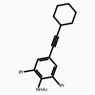 CC(=O)Nc1c(C(C)C)cc(C#CC2CCCCC2)cc1C(C)C